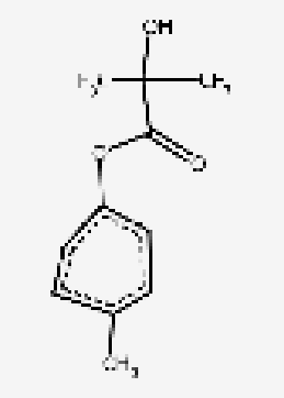 Cc1ccc(OC(=O)C(O)(C(F)(F)F)C(F)(F)F)cc1